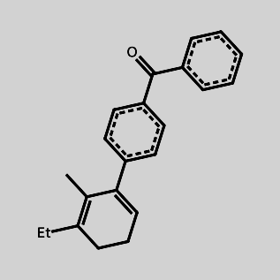 CCC1=C(C)C(c2ccc(C(=O)c3ccccc3)cc2)=CCC1